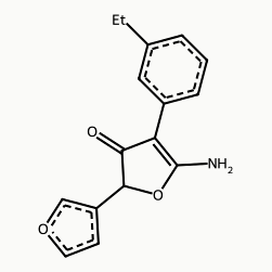 CCc1cccc(C2=C(N)OC(c3ccoc3)C2=O)c1